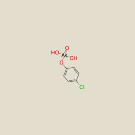 O=[As](O)(O)Oc1ccc(Cl)cc1